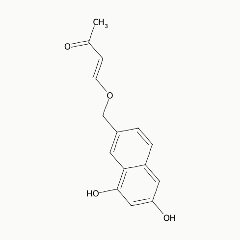 CC(=O)C=COCc1ccc2cc(O)cc(O)c2c1